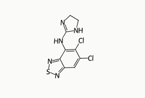 Clc1cc2nsnc2c(NC2=NCCN2)c1Cl